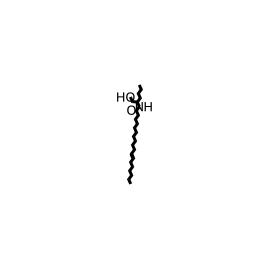 CCCCCCC=CCCCCCCCCCC(=O)NC(CO)CCCC